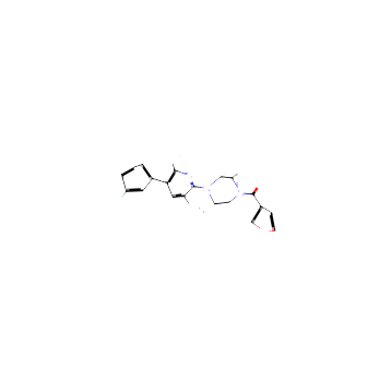 CC(C)c1nc(N2CCN(C(=O)c3ccoc3)C(C)C2)c(C#N)cc1-c1cccc(F)c1